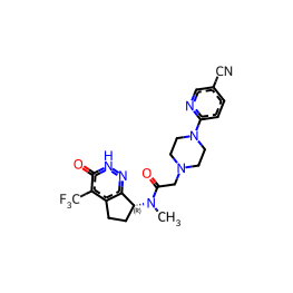 CN(C(=O)CN1CCN(c2ccc(C#N)cn2)CC1)[C@@H]1CCc2c1n[nH]c(=O)c2C(F)(F)F